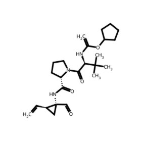 C=C[C@@H]1C[C@@]1(C=O)NC(=O)[C@@H]1CCCN1C(=O)[C@@H](NC(=C)OC1CCCC1)C(C)(C)C